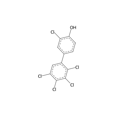 Oc1ccc(-c2cc(Cl)c(Cl)c(Cl)c2Cl)cc1Cl